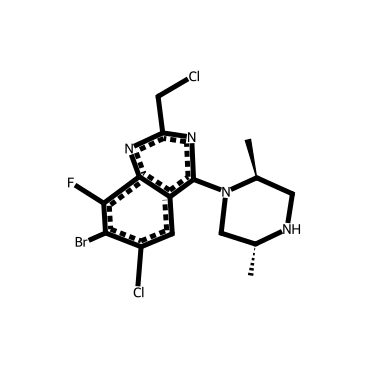 C[C@@H]1CN(c2nc(CCl)nc3c(F)c(Br)c(Cl)cc23)[C@@H](C)CN1